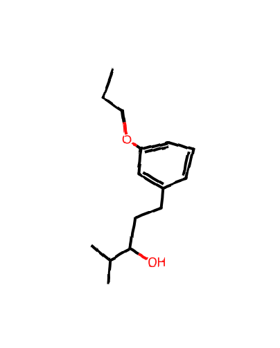 CCCOc1cccc(CCC(O)C(C)C)c1